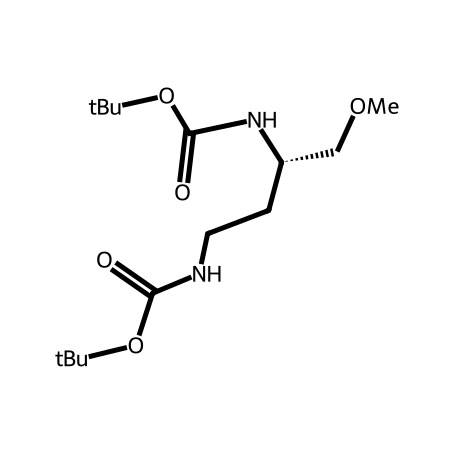 COC[C@H](CCNC(=O)OC(C)(C)C)NC(=O)OC(C)(C)C